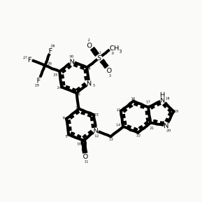 CS(=O)(=O)c1nc(-c2ccc(=O)n(Cc3ccc4[nH]cnc4c3)c2)cc(C(F)(F)F)n1